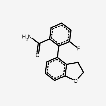 NC(=O)c1cccc(F)c1-c1cccc2c1CCO2